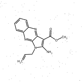 C=CCn1c(N)c(C(=O)OC)c2nc3ccccc3nc21